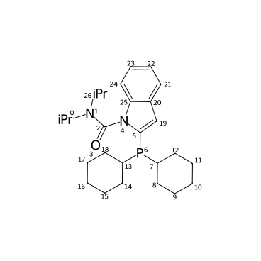 CC(C)N(C(=O)n1c(P(C2CCCCC2)C2CCCCC2)cc2ccccc21)C(C)C